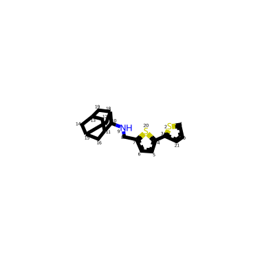 c1csc(-c2ccc(CNC3C4CC5CC(C4)CC3C5)s2)c1